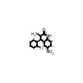 Nc1c(-c2ccccc2F)c2cc([N+](=O)[O-])ccc2[nH]c1=O